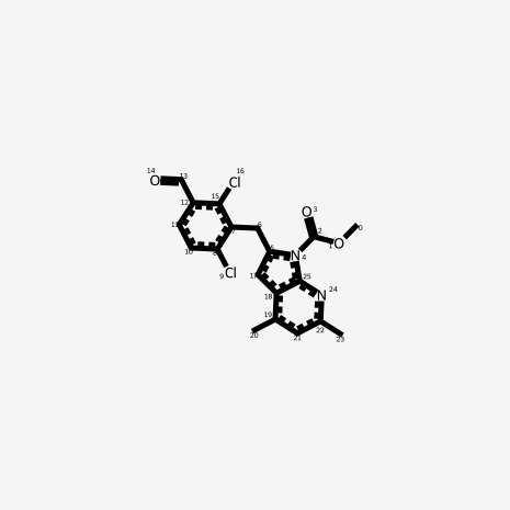 COC(=O)n1c(Cc2c(Cl)ccc(C=O)c2Cl)cc2c(C)cc(C)nc21